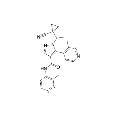 Cc1nnccc1NC(=O)c1cnn(C(C)C2(C#N)CC2)c1-c1ccnnc1C